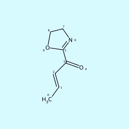 C/C=C/C(=O)C1=NCCO1